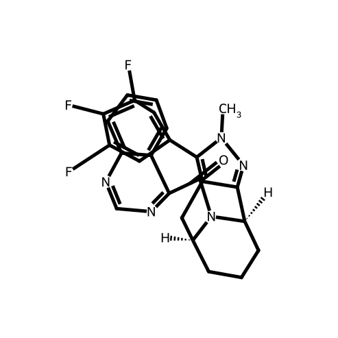 Cn1nc2c(c1-c1cc(F)c(F)c(F)c1)C[C@@H]1CCC[C@H]2N1C(=O)c1ncnc2ccccc12